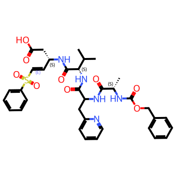 CC(C)[C@H](NC(=O)C(Cc1ccccn1)NC(=O)[C@H](C)NC(=O)OCc1ccccc1)C(=O)N[C@H](/C=C/S(=O)(=O)c1ccccc1)CC(=O)O